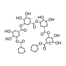 O=C(Oc1ccccc1)c1cc(O)c(O)c(OC(=O)c2cc(O)c(O)c(OC(=O)c3cc(O)c(O)c(OC(=O)c4cc(O)c(O)c(OC(=O)c5ccccc5)c4)c3)c2)c1